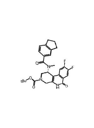 CN(C(=O)c1ccc2c(c1)CCC2)[C@H]1CN(C(=O)OC(C)(C)C)Cc2[nH]c(=O)c3cc(F)c(F)cc3c21